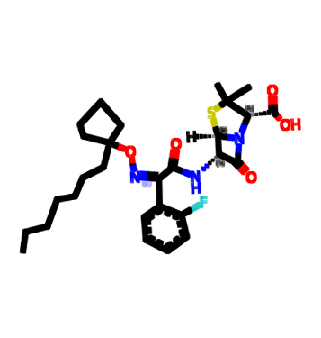 CCCCCCCC1(O/N=C(\C(=O)N[C@H]2C(=O)N3[C@@H]2SC(C)(C)[C@@H]3C(=O)O)c2ccccc2F)CCCC1